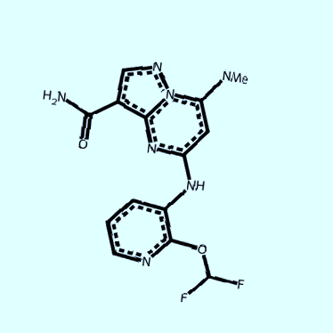 CNc1cc(Nc2cccnc2OC(F)F)nc2c(C(N)=O)cnn12